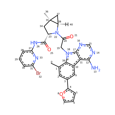 Cc1cc(-c2ccco2)cc2c3c(N)ncnc3n(CC(=O)N3[C@H](C(=O)Nc4cccc(Br)n4)C[C@@]4(C)C[C@@H]34)c12